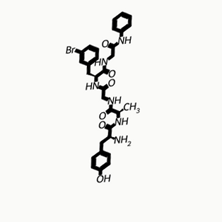 C[C@@H](NC(=O)[C@@H](N)Cc1ccc(O)cc1)C(=O)NCC(=O)N[C@@H](Cc1cccc(Br)c1)C(=O)NCC(=O)Nc1ccccc1